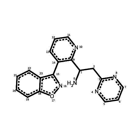 NC(Cc1ncccn1)c1ncccc1-c1noc2ccccc12